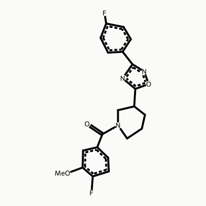 COc1cc(C(=O)N2CCCC(c3nc(-c4ccc(F)cc4)no3)C2)ccc1F